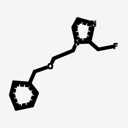 FCc1nccn1CCOCc1ccccc1